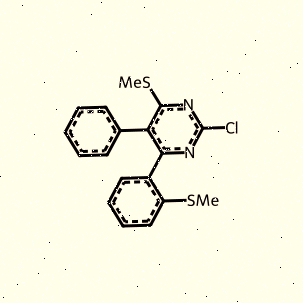 CSc1ccccc1-c1nc(Cl)nc(SC)c1-c1ccccc1